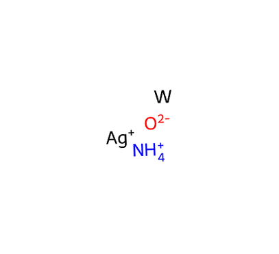 [Ag+].[NH4+].[O-2].[W]